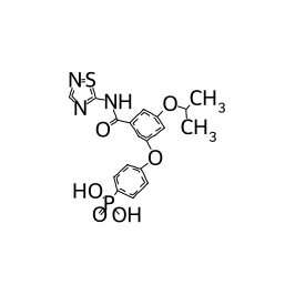 CC(C)Oc1cc(Oc2ccc(P(=O)(O)O)cc2)cc(C(=O)Nc2ncns2)c1